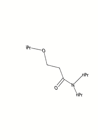 CCCN(CCC)C(=O)CCOC(C)C